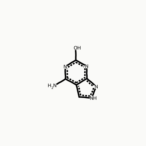 Nc1nc(O)nc2n[nH]cc12